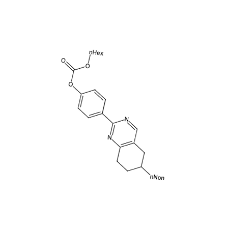 CCCCCCCCCC1CCc2nc(-c3ccc(OC(=O)OCCCCCC)cc3)ncc2C1